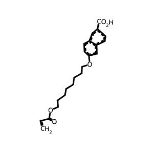 C=CC(=O)OCCCCCCCCOc1ccc2cc(C(=O)O)ccc2c1